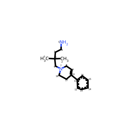 CC(C)(CCN)CN1CC=C(c2ccccc2)CC1